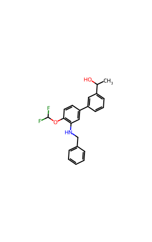 CC(O)c1cccc(-c2ccc(OC(F)F)c(NCc3ccccc3)c2)c1